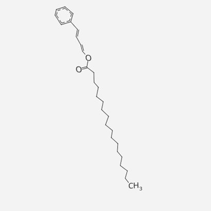 CCCCCCCCCCCCCCCCCC(=O)OC=CC=Cc1ccccc1